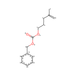 C=C(C)CCCOC(=O)OCc1ccccc1